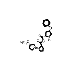 O=C(OC(=O)[C@@H]1C[C@@H](Oc2ccccc2)CN1)C1CCCN1N1CC[C@H](C(=O)O)C1